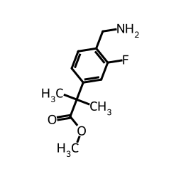 COC(=O)C(C)(C)c1ccc(CN)c(F)c1